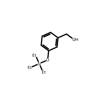 CC[Si](CC)(CC)Oc1cccc(CO)c1